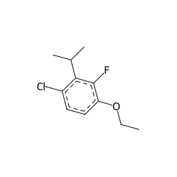 CCOc1ccc(Cl)c(C(C)C)c1F